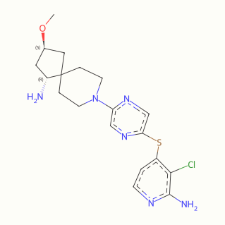 CO[C@@H]1C[C@@H](N)C2(CCN(c3cnc(Sc4ccnc(N)c4Cl)cn3)CC2)C1